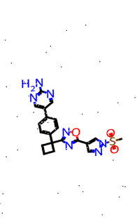 CS(=O)(=O)n1cc(-c2nc(C3(c4ccc(-c5cnc(N)nc5)cc4)CCC3)no2)cn1